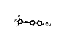 CCCCC1CCC(c2ccc(C#Cc3cc(F)c(F)c(F)c3)cc2)CC1